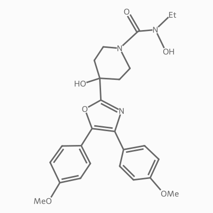 CCN(O)C(=O)N1CCC(O)(c2nc(-c3ccc(OC)cc3)c(-c3ccc(OC)cc3)o2)CC1